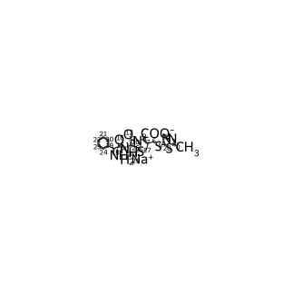 Cc1nnc(SCC2=C(C(=O)[O-])N3C(=O)C(NC(=O)C(N)c4ccccc4)[C@H]3SC2)s1.[Na+]